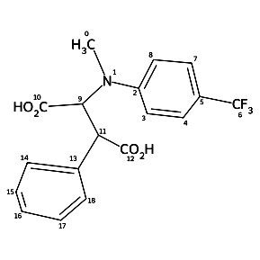 CN(c1ccc(C(F)(F)F)cc1)C(C(=O)O)C(C(=O)O)c1ccccc1